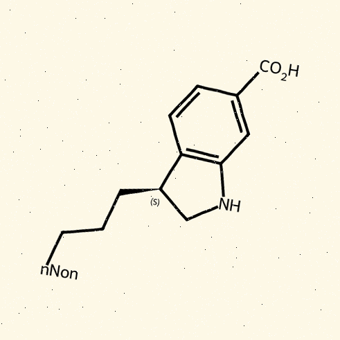 CCCCCCCCCCCC[C@@H]1CNc2cc(C(=O)O)ccc21